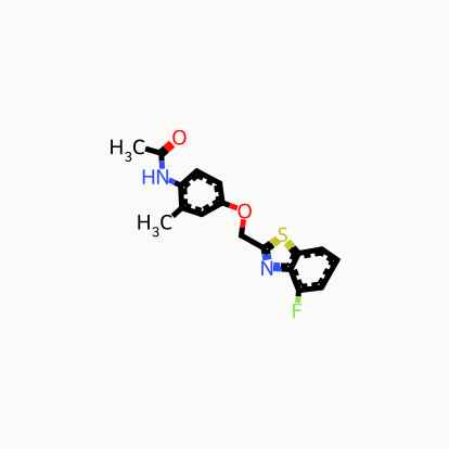 CC(=O)Nc1ccc(OCc2nc3c(F)cccc3s2)cc1C